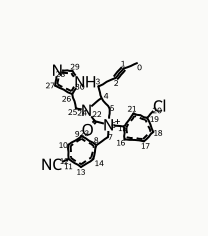 CC#CCC1C[N+](Cc2ccc(C#N)cc2)(c2cccc(Cl)c2)C(=O)N1Cc1cnc[nH]1